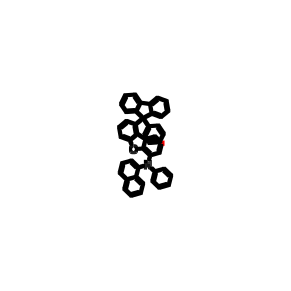 c1ccc(N(c2cccc3ccccc23)c2cccc3c2oc2cccc(C4(c5ccccc5)c5ccccc5-c5ccccc54)c23)cc1